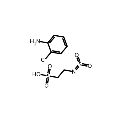 Nc1ccccc1Cl.O=S(=O)=NCCS(=O)(=O)O